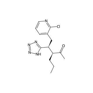 CCC[C@H](C(C)=O)[C@H](Cc1cccnc1Cl)c1nnn[nH]1